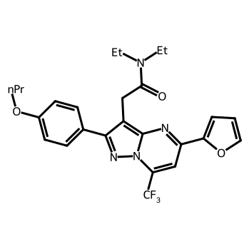 CCCOc1ccc(-c2nn3c(C(F)(F)F)cc(-c4ccco4)nc3c2CC(=O)N(CC)CC)cc1